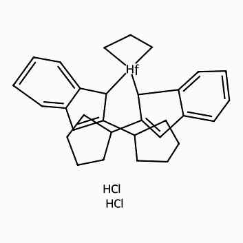 C1=C(C2CCCC2)[CH]([Hf]2([CH]3C(C4CCCC4)=Cc4ccccc43)[CH2]C[CH2]2)c2ccccc21.Cl.Cl